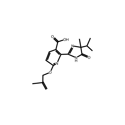 C=C(C)COc1ccc(C(=O)O)c(C2=NC(C)(C(C)C)C(=O)N2)n1